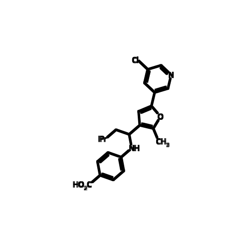 Cc1oc(-c2cncc(Cl)c2)cc1C(CC(C)C)Nc1ccc(C(=O)O)cc1